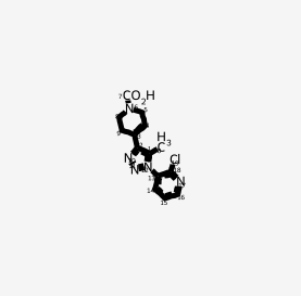 Cc1c(C2=CCN(C(=O)O)CC2)nnn1-c1cccnc1Cl